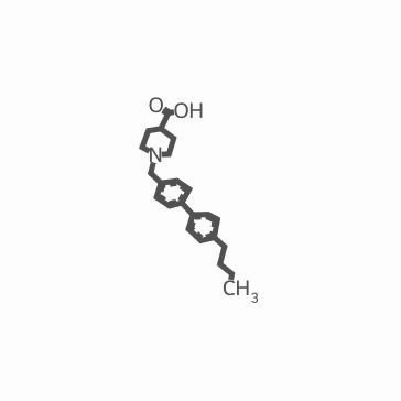 CCCCc1ccc(-c2ccc(CN3CCC(C(=O)O)CC3)cc2)cc1